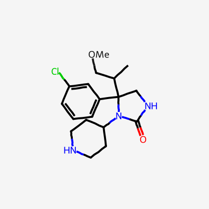 COCC(C)C1(c2cccc(Cl)c2)CNC(=O)N1C1CCNCC1